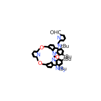 CC(C)(C)c1cc(N2C(=O)N(c3cc(C(C)(C)C)cc(C(C)(C)C)c3)c3cc(ccc3C/N=C/c3cccc(C=O)n3)COCc3cccc(n3)COCc3ccc(CN)c2c3)cc(C(C)(C)C)c1